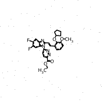 CCOC(=O)c1ccc(-n2c(C=Cc3cccc(OC)c3OC3CCCC3)nc3cc(F)c(F)cc32)nn1